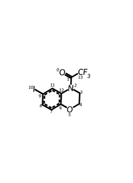 O=C(N1CCOc2ccc(I)cc21)C(F)(F)F